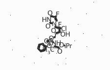 CC(C)OC(=O)[C@H](C)N[P@@](=O)(OC[C@H]1O[C@@H](n2cc(F)c(=O)[nH]c2=O)[C@](F)(Cl)[C@@H]1O)Oc1ccccc1